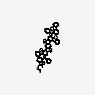 C=C/C=C\c1c(C)oc2c(N(c3ccccc3)c3cc4c(c5oc6ccccc6c35)-c3cc5c(cc3[Si]4(C)C)-c3c(cc(N(c4ccccc4)c4cccc6c4oc4ccccc46)c4oc6ccccc6c34)[Si]5(C)C)cccc12